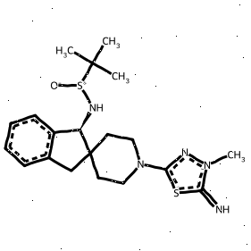 Cn1nc(N2CCC3(CC2)Cc2ccccc2[C@H]3N[S+]([O-])C(C)(C)C)sc1=N